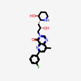 Cc1cc(-c2cccc(F)c2)nc2c(=O)n(C[C@@H](O)C[C@H]3NCCC[C@@H]3O)cnc12